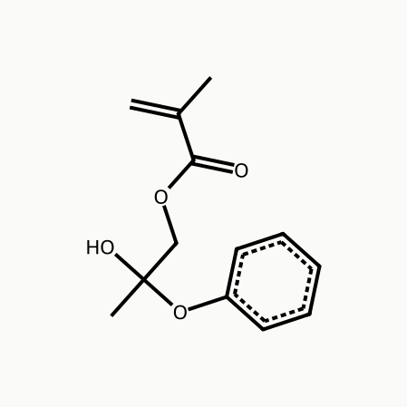 C=C(C)C(=O)OCC(C)(O)Oc1ccccc1